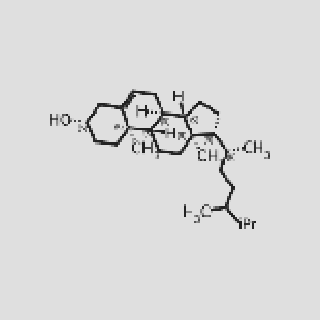 CC(C)C(C)CC[C@@H](C)[C@H]1CC[C@H]2[C@@H]3CC=C4C[C@@H](O)CC[C@]4(C)[C@H]3CC[C@]12C